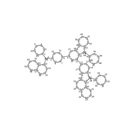 c1ccc(N(c2ccc(-c3cc(-c4ccc5c(c4)c4ccc6ccccc6c4n5-c4ccccc4)c4c(c3)c3ccccc3n4-c3ccccc3)cc2)c2cccc3ccccc23)cc1